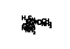 Cc1nc(N2CCC(C)(N)CC2)c(CO)nc1Sc1ccnc(N)c1Cl